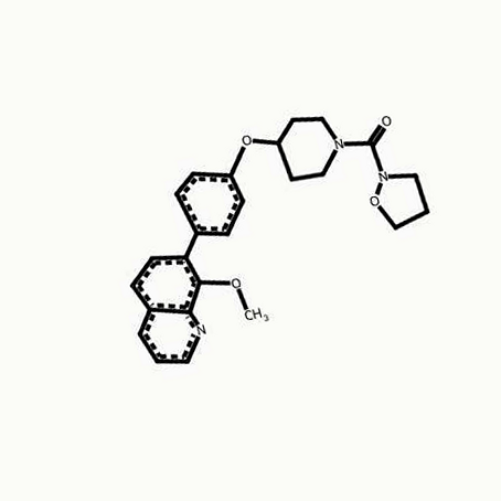 COc1c(-c2ccc(OC3CCN(C(=O)N4CCCO4)CC3)cc2)ccc2cccnc12